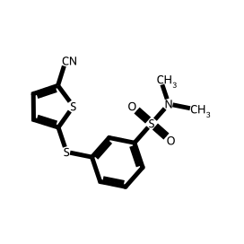 CN(C)S(=O)(=O)c1cccc(Sc2ccc(C#N)s2)c1